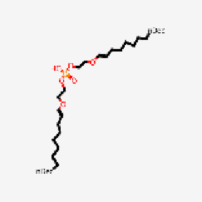 CCCCCCCCCCCCCCCCC=COCCOP(=O)(O)OCCOC=CCCCCCCCCCCCCCCCC